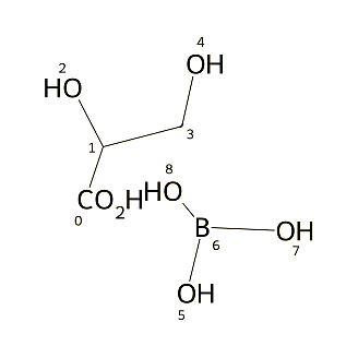 O=C(O)C(O)CO.OB(O)O